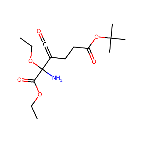 CCOC(=O)C(N)(OCC)C(=C=O)CCC(=O)OC(C)(C)C